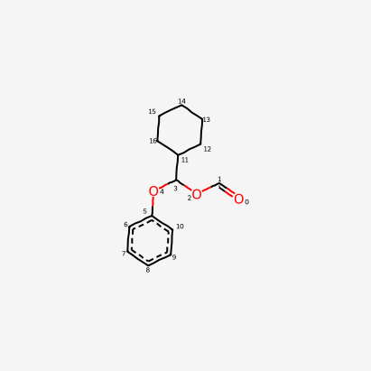 O=[C]OC(Oc1ccccc1)C1CCCCC1